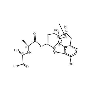 C[C@H](N[C@H](O)C(=O)O)C(=O)OC1=CC[C@@]2(O)[C@H]3Cc4ccc(O)c5c4[C@@]2(CCN3C)[C@H]1O5